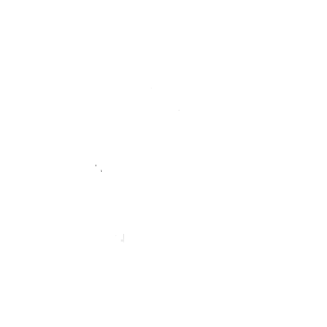 CC(C)(C)c1cnc(S)o1